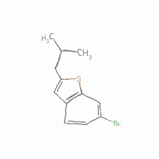 CC(C)Cc1cc2ccc(Br)cc2s1